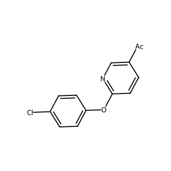 CC(=O)c1ccc(Oc2ccc(Cl)cc2)nc1